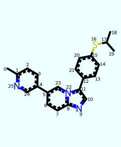 Cc1ccc(-c2ccc3ncc(-c4ccc(SC(C)C)cc4)n3c2)cn1